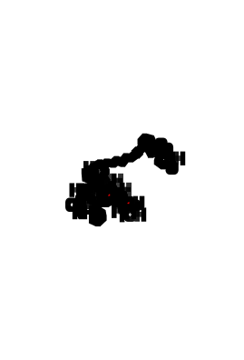 NC(=O)CC[C@H](NC(=O)[C@@H]1CC[C@@H]2CCN(CCCCCCC#Cc3cccc4c3CN(C3CCC(=O)NC3=O)C4=O)C[C@H](NC(=O)c3cc4cc(C(F)(F)P(=O)(O)O)ccc4[nH]3)C(=O)N21)C(=O)NC(c1ccccc1)c1ccccc1